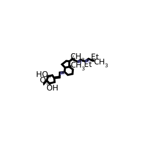 CCC(C)(/C=C/C=C/[C@@H](C)C1CCC2/C(=C/C=C3C[C@@H](O)C4(CO4)[C@H](O)C3)CCCC21C)CC